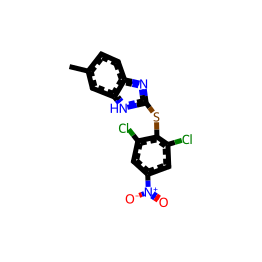 Cc1ccc2nc(Sc3c(Cl)cc([N+](=O)[O-])cc3Cl)[nH]c2c1